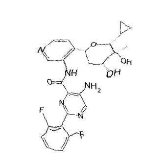 C[C@]1(O)[C@H](O)C[C@H](c2ccncc2NC(=O)c2nc(-c3c(F)cccc3F)ncc2N)O[C@@H]1C1CC1